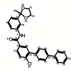 CC1(c2cccc(NC(=O)c3ccc(Cl)c(-c4ccc(-c5ccccc5)cc4)c3)c2)OCCO1